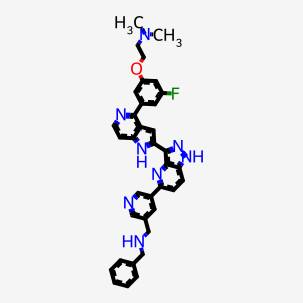 CN(C)CCOc1cc(F)cc(-c2nccc3[nH]c(-c4n[nH]c5ccc(-c6cncc(CNCc7ccccc7)c6)nc45)cc23)c1